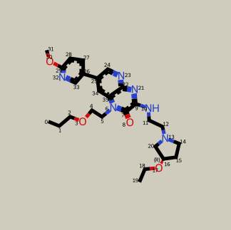 CCCOCCn1c(=O)c(NCCN2CC[C@@H](OCC)C2)nc2ncc(-c3ccc(OC)nc3)cc21